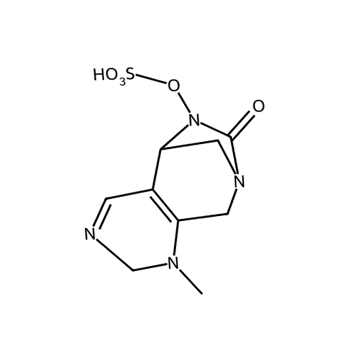 CN1CN=CC2=C1CN1CC2N(OS(=O)(=O)O)C1=O